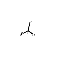 F[C](I)I